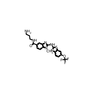 Cn1c(Nc2nc3ccc(OC(F)(F)F)cc3s2)nc2cc(C(=O)NCCCN)ccc21